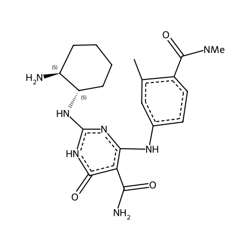 CNC(=O)c1ccc(Nc2nc(N[C@H]3CCCC[C@@H]3N)[nH]c(=O)c2C(N)=O)cc1C